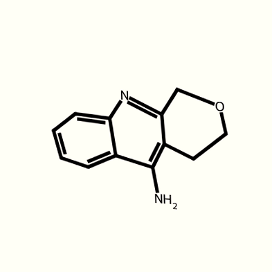 Nc1c2c(nc3ccccc13)COCC2